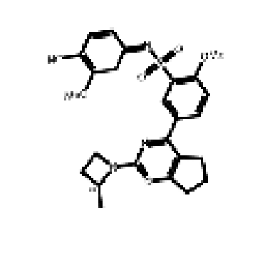 COC1=C(C#N)C=CC(=NS(=O)(=O)c2cc(-c3nc(N4CC[C@@H]4C)nc4c3CCC4)ccc2OC)C1